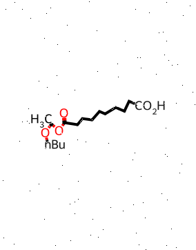 CCCCOC(C)OC(=O)CCCCCCCCC(=O)O